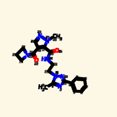 Cc1nc(-c2ccccc2)nn1CCNC(=O)c1c(C(=O)N2CCC2)cnn1C